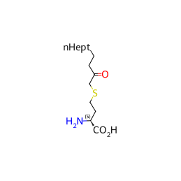 CCCCCCCCCC(=O)CSCC[C@H](N)C(=O)O